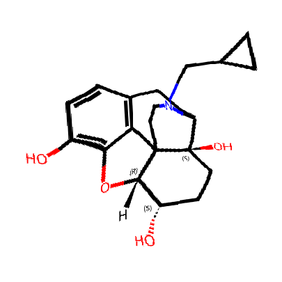 Oc1ccc2c3c1O[C@H]1[C@@H](O)CC[C@@]4(O)C(C2)N(CC2CC2)CCC314